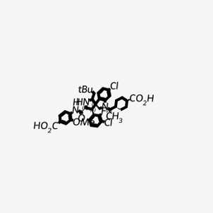 COc1cc(C(=O)O)ccc1NC(=O)[C@@H]1NC(CC(C)(C)C)[C@@]2(CN([C@H](C)[C@H]3CC[C@H](C(=O)O)CC3)c3cc(Cl)ccc32)[C@H]1c1cccc(Cl)c1F